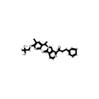 Cc1cc(C(C)N2Cc3c(ccnc3C(=O)CCc3ccccc3)C2=O)cnc1OCC(C)(F)F